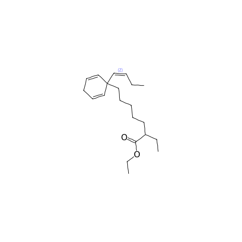 CC/C=C\C1(CCCCCC(CC)C(=O)OCC)C=CCC=C1